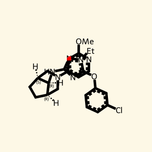 CCn1nc(N[C@H]2[C@@H]3CC[C@H]2CN(c2ccnc(OC)c2)C3)nc1Oc1cccc(Cl)c1